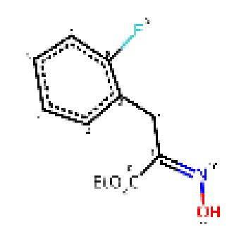 CCOC(=O)/C(Cc1ccccc1F)=N\O